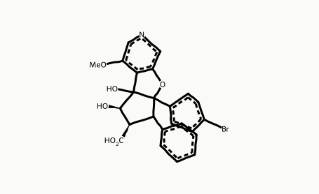 COc1cncc2c1C1(O)[C@H](O)[C@H](C(=O)O)C(c3ccccc3)C1(c1ccc(Br)cc1)O2